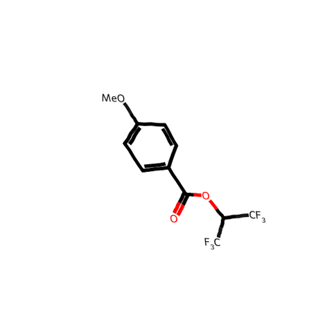 COc1ccc(C(=O)OC(C(F)(F)F)C(F)(F)F)cc1